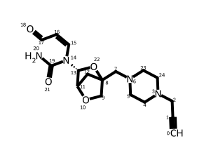 C#CCN1CCN(CC23COC(C2)[C@H](N(/C=C\C=O)C(N)=O)O3)CC1